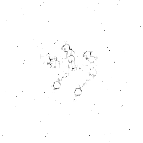 CCOCCn1c(CN2CCN(CCCOc3ccc(F)cc3)CC2)nc2cccnc21.CCOCCn1c(CN2CCN(CCCOc3ccc(F)cc3)CC2)nc2cccnc21.O=C(O)C(=O)O